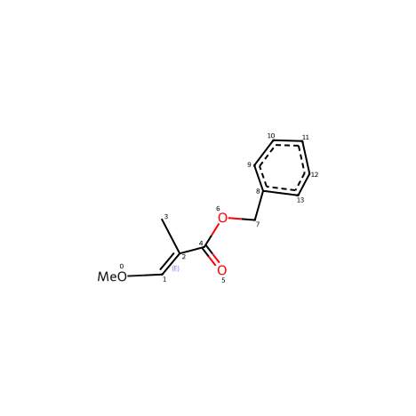 CO/C=C(\C)C(=O)OCc1ccccc1